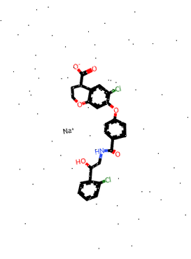 O=C(NCC(O)c1ccccc1Cl)c1ccc(Oc2cc3c(cc2Cl)C(C(=O)[O-])CCO3)cc1.[Na+]